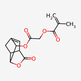 C=C(C)C(=O)OCC(=O)OC1C2=CC3C(=O)OC1C3C2